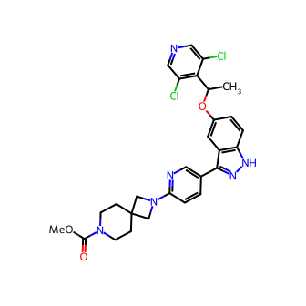 COC(=O)N1CCC2(CC1)CN(c1ccc(-c3n[nH]c4ccc(OC(C)c5c(Cl)cncc5Cl)cc34)cn1)C2